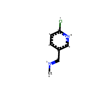 CC/N=C/c1ccc(Cl)nc1